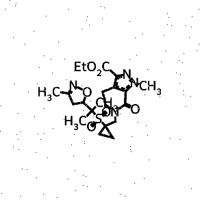 CCOC(=O)c1nn(C)c2c1CCN(CC1(S(=O)(=O)C(C)(C)C3CC(C)=NO3)CC1)C2=O